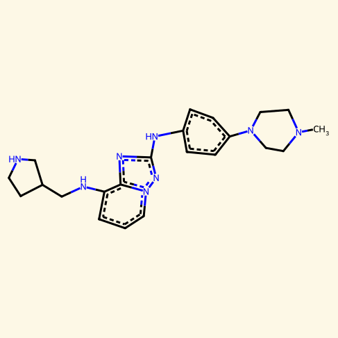 CN1CCN(c2ccc(Nc3nc4c(NCC5CCNC5)cccn4n3)cc2)CC1